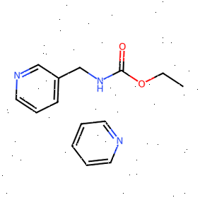 CCOC(=O)NCc1cccnc1.c1ccncc1